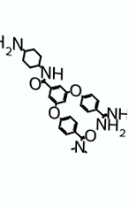 CN(C)C(=O)c1ccc(Oc2cc(Oc3ccc(C(=N)N)cc3)cc(C(=O)NC3CCC(N)CC3)c2)cc1